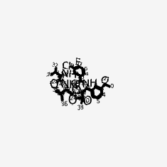 CC(=O)c1ccc2c(c1)[C@H](NC(=O)c1ccc(F)c(Cl)c1)[C@H](OC(=O)[C@@H](NC(=O)[C@@H](N)C(C)C)C(C)C)C(C)(C)O2